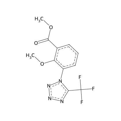 COC(=O)c1cccc(-n2nnnc2C(F)(F)F)c1OC